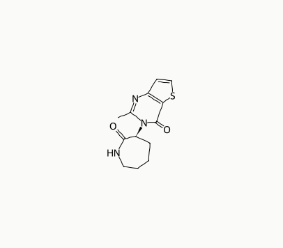 Cc1nc2ccsc2c(=O)n1[C@H]1CCCCNC1=O